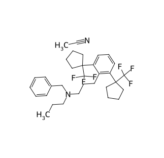 CC#N.CCCN(CCCc1c(C2(C(F)(F)F)CCCC2)cccc1C1(C(F)(F)F)CCCC1)Cc1ccccc1